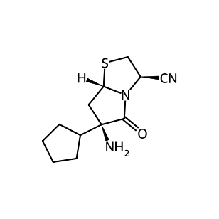 N#C[C@@H]1CS[C@H]2C[C@@](N)(C3CCCC3)C(=O)N12